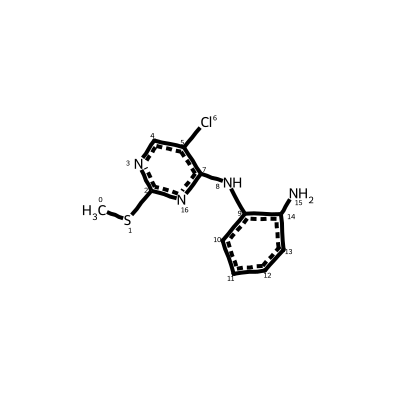 CSc1ncc(Cl)c(Nc2ccccc2N)n1